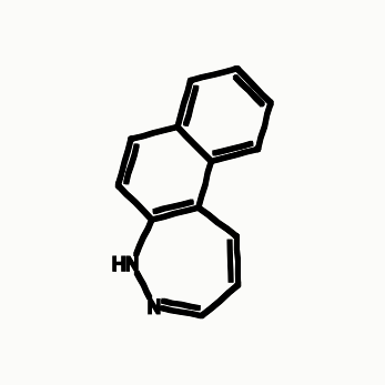 C1=Cc2c(ccc3ccccc23)NN=C1